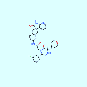 O=C(CN1C(=O)C2(CC3(CCOCC3)C2)NCC1c1cc(F)cc(F)c1)Nc1ccc2c(c1)CC1(C2)C(=O)Nc2ncccc21